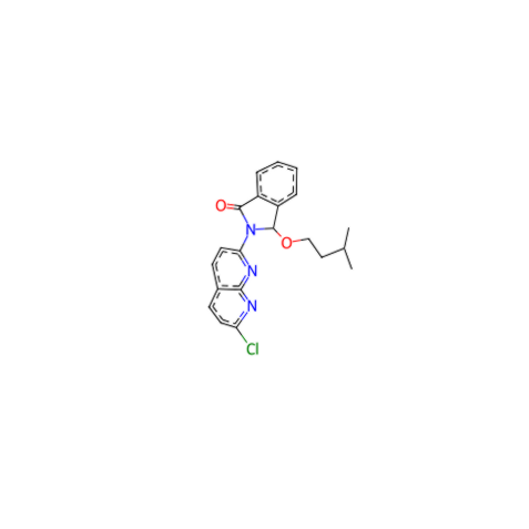 CC(C)CCOC1c2ccccc2C(=O)N1c1ccc2ccc(Cl)nc2n1